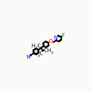 CC(C)C(C)(c1ccc(C#N)cc1)c1ccc(OCc2ccc(F)cn2)cc1